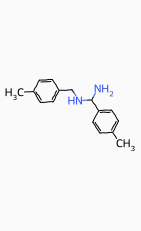 Cc1ccc(CNC(N)c2ccc(C)cc2)cc1